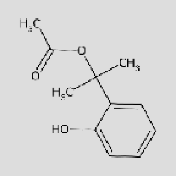 CC(=O)OC(C)(C)c1ccccc1O